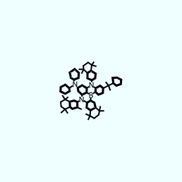 Cc1cc2c(cc1N1c3cc4c(cc3B3c5ccc(C(C)(C)c6ccccc6)cc5N(c5ccc6c(c5)C(C)(C)CCC6(C)C)c5cc(N(c6ccccc6)c6ccccc6)cc1c53)C(C)(C)CCC4(C)C)C(C)(C)CCC2(C)C